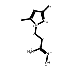 Cc1cc(C)n(CC/C(N)=N/O)n1